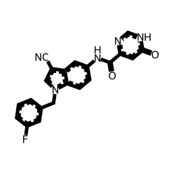 N#Cc1cn(Cc2cccc(F)c2)c2ccc(NC(=O)c3cc(=O)[nH]cn3)cc12